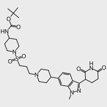 Cn1nc(C2CCC(=O)NC2=O)c2ccc(C3CCN(CCCS(=O)(=O)N4CCC(NC(=O)OC(C)(C)C)CC4)CC3)cc21